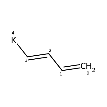 C=CC=[CH][K]